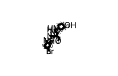 OCc1cc(Nc2nc3ccc(Br)cc3s2)nc(NC2CCC(O)CC2)c1